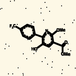 COC(=O)c1cc(O)c(-c2ccc(C(F)(F)F)cc2)nc1OC